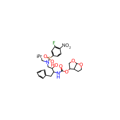 CC(C)CN(CC(O)C(Cc1ccccc1)NC(=O)OC1COC2OCCC12)S(=O)(=O)c1ccc([N+](=O)[O-])c(F)c1